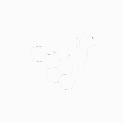 [O-][S+]1N=C(C2CCC=c3ccc4c(c32)CC=c2ccccc2=4)C=Cc2ccccc21